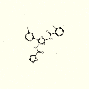 Cc1ccccc1C(=O)Nc1nc(NC(=O)c2ccno2)n(-c2cccc(F)c2)n1